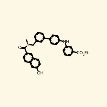 CCOC(=O)c1cccc(Nc2ccc(-c3cccc(CN(C)C(=O)c4ccc5cc(O)ccc5c4)c3)cc2)c1